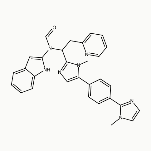 Cn1ccnc1-c1ccc(-c2cnc(C(Cc3ccccn3)N(C=O)c3cc4ccccc4[nH]3)n2C)cc1